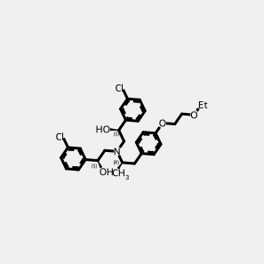 CCOCCOc1ccc(C[C@@H](C)N(C[C@@H](O)c2cccc(Cl)c2)C[C@@H](O)c2cccc(Cl)c2)cc1